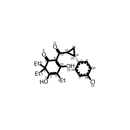 CCC1=C(O)C(CC)(CC)C(=O)C(C(=O)C2C[C@@H]2c2ccc(Cl)cc2)=C1O